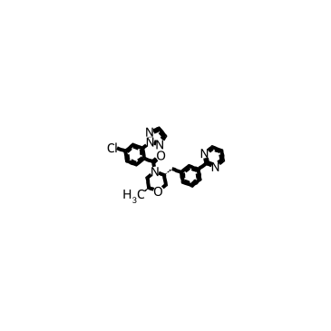 C[C@@H]1CN(C(=O)c2ccc(Cl)cc2-n2nccn2)[C@H](Cc2cccc(-c3ncccn3)c2)CO1